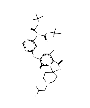 Cc1cc(Nc2cc(N(C(=O)OC(C)(C)C)C(=O)OC(C)(C)C)ncn2)c(=O)n2c1C(=O)NC21CCN(CC(F)F)CC1